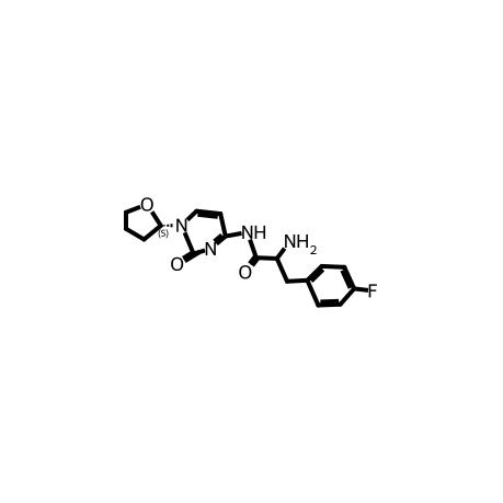 NC(Cc1ccc(F)cc1)C(=O)Nc1ccn([C@@H]2CCCO2)c(=O)n1